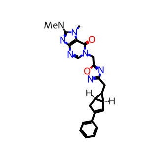 CNc1nc2ncn(Cc3nc(CC4[C@H]5C=C(c6ccccc6)C[C@@H]45)no3)c(=O)c2n1C